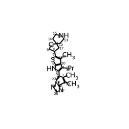 Cc1c(-c2[nH]c3sc(C4COC5(CCNCC5)C4)c(C)c3c2C(C)C)cn2ncnc2c1C